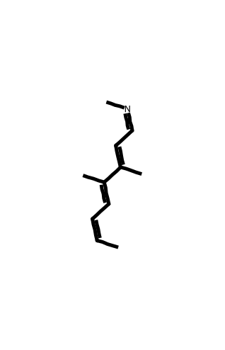 C\C=C/C=C(C)/C(C)=C/C=N\C